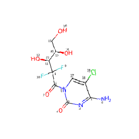 Nc1nc(=O)n(C(=O)C(F)(F)[C@@H](O)[C@H](O)CO)cc1Cl